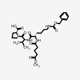 COC(=O)CCCC(=O)N[C@@H](CCCCNC(=O)OCc1ccccc1)C(=O)N[C@H](C(=O)N1CCC[C@H]1C(=O)O)C(C)C